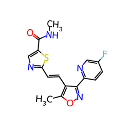 CNC(=O)c1cnc(C=Cc2c(-c3ccc(F)cn3)noc2C)s1